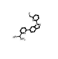 CCCC(N)c1cccc(-c2ccc3cnn(-c4cccc(CF)n4)c3c2)n1